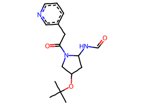 CC(C)(C)OC1CC(NC=O)N(C(=O)Cc2cccnc2)C1